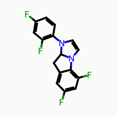 Fc1ccc(N2C=CN3c4c(F)cc(F)cc4CC23)c(F)c1